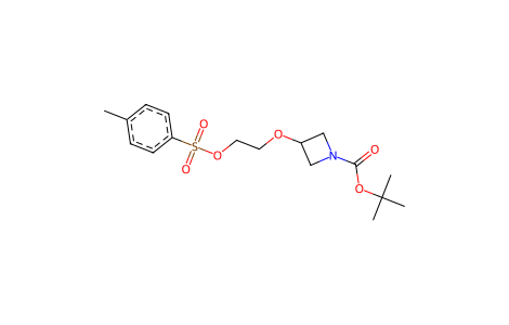 Cc1ccc(S(=O)(=O)OCCOC2CN(C(=O)OC(C)(C)C)C2)cc1